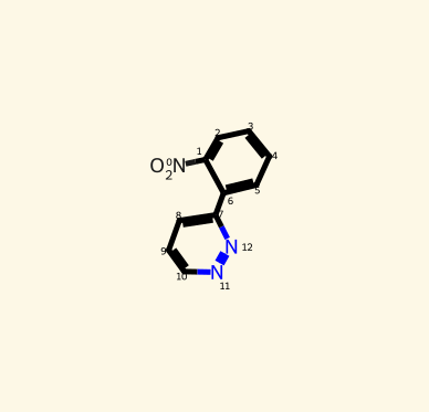 O=[N+]([O-])c1ccccc1-c1cccnn1